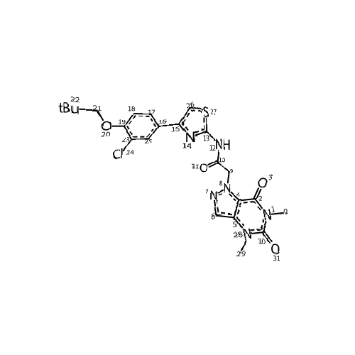 Cn1c(=O)c2c(cnn2CC(=O)Nc2nc(-c3ccc(OCC(C)(C)C)c(Cl)c3)cs2)n(C)c1=O